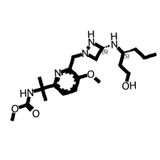 CCC[C@@H](CCO)N[C@@H]1CN(Cc2nc(C(C)(C)NC(=O)OC)ccc2OC)N1